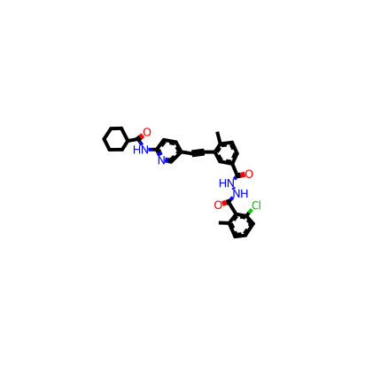 Cc1ccc(C(=O)NNC(=O)c2c(C)cccc2Cl)cc1C#Cc1ccc(NC(=O)C2CCCCC2)nc1